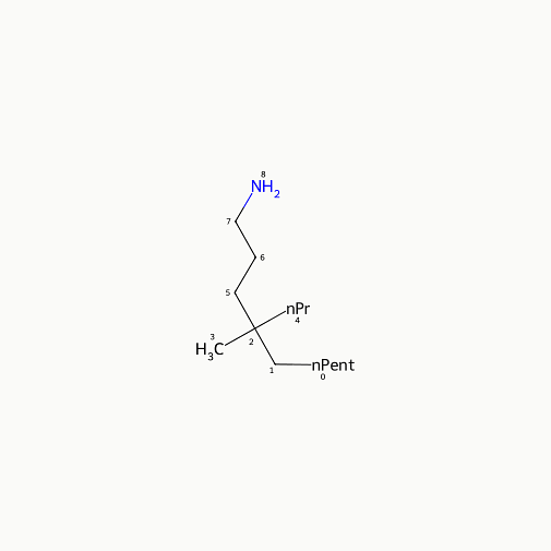 CCCCCCC(C)(CCC)CCCN